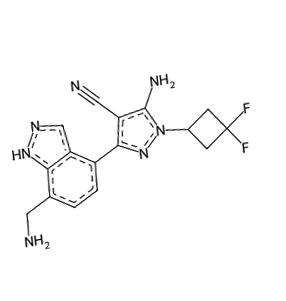 N#Cc1c(-c2ccc(CN)c3[nH]ncc23)nn(C2CC(F)(F)C2)c1N